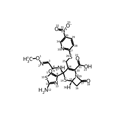 CON=CC(=O)NC1(c2csc(N)n2)S[C@H]2CC(=O)N2C(C(=O)O)=C1CSc1ccc([N+](=O)[O-])cn1